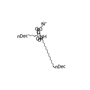 CCCCCCCCCC/C=C\CCCCCCCCCCCCCCCC(=O)N[C@@H](CO[PH](=O)OCC[N+](C)(C)C)[C@H](O)/C=C/CCCCCCCCCCCCC